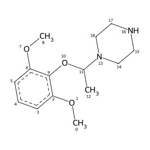 COc1cccc(OC)c1OC(C)N1CCNCC1